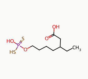 CCC(CCCCOP(O)(=S)S)CC(=O)O